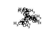 CCC(C)(CC)OC(=O)CC(O)(CC(=O)OC(C)(CC)CC)C(=O)OC(C)(CC)CC